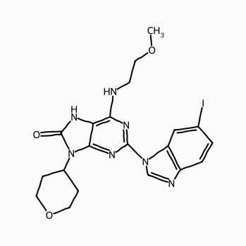 COCCNc1nc(-n2cnc3ccc(I)cc32)nc2c1[nH]c(=O)n2C1CCOCC1